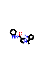 Cc1c2c(nc3c(C(=O)NC4CCCCC4)ccn13)CCC2